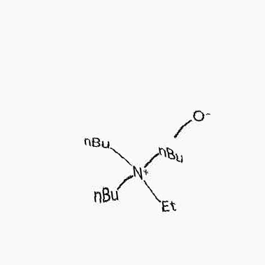 CCCC[N+](CC)(CCCC)CCCC.C[O-]